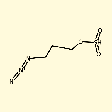 [N-]=[N+]=NCCCO[SH](=O)=O